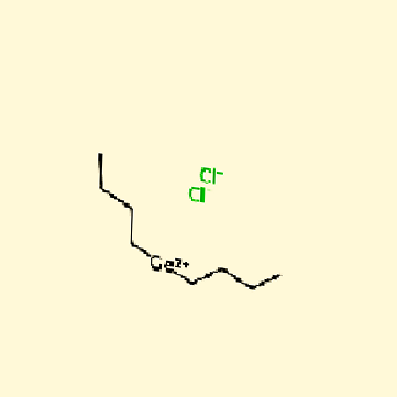 CCC[CH2][Ge+2][CH2]CCC.[Cl-].[Cl-]